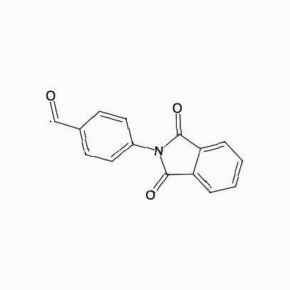 O=[C]c1ccc(N2C(=O)c3ccccc3C2=O)cc1